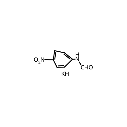 O=CNc1ccc([N+](=O)[O-])cc1.[KH]